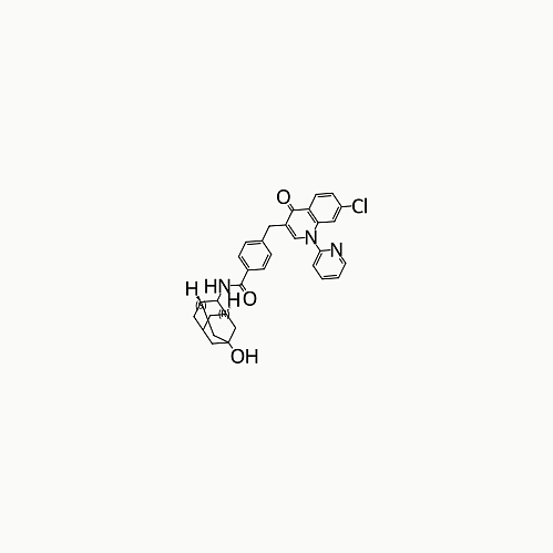 O=C(NC1[C@@H]2CC3C[C@H]1CC(O)(C3)C2)c1ccc(Cc2cn(-c3ccccn3)c3cc(Cl)ccc3c2=O)cc1